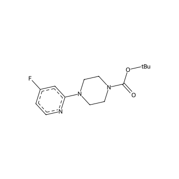 CC(C)(C)OC(=O)N1CCN(c2cc(F)ccn2)CC1